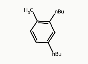 CCCCc1ccc(C)c(CCCC)c1